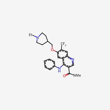 CCN1CCC(COc2cc3c(Nc4ccccc4)c(C(=O)NC)cnc3cc2C(F)(F)F)CC1